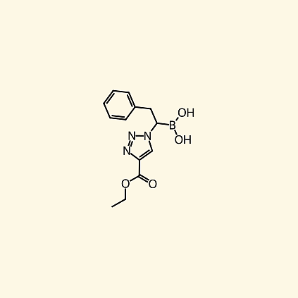 CCOC(=O)c1cn(C(Cc2ccccc2)B(O)O)nn1